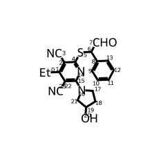 CCc1c(C#N)c(SC(C=O)c2ccccc2)nc(N2CCC(O)C2)c1C#N